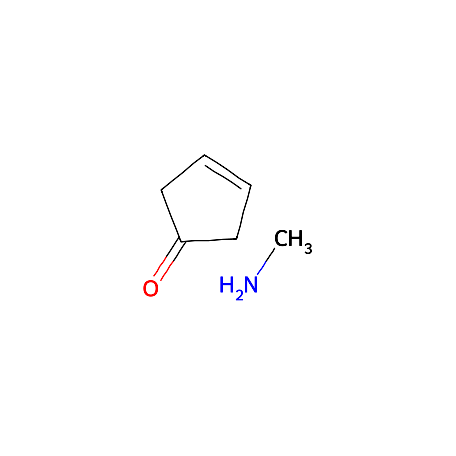 CN.O=C1CC=CC1